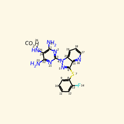 Nc1nc(-n2nc(Sc3ccccc3F)c3ncccc32)nc(N)c1NC(=O)O